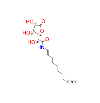 CCCCCCCCCCCCCCCCC=CNC(=O)[C@H](O)[C@H]1OC(=O)[C@@H](O)[C@H]1O